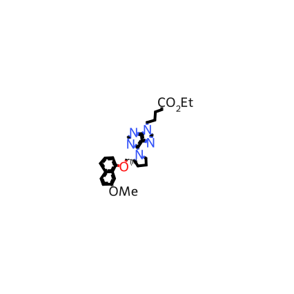 CCOC(=O)CCCCn1cnc2c(N3CCC[C@@H]3COc3cccc4ccc(OC)cc34)ncnc21